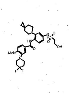 CNc1ccc(C(=O)Nc2ccc(NS(=O)(=O)CCO)cc2N2CCC3(CC2)CC3)cc1N1CCC(F)(F)CC1